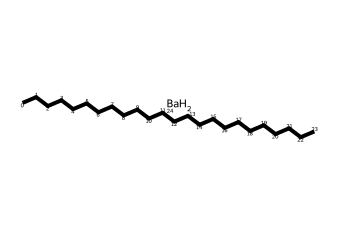 CCCCCCCCCCCCCCCCCCCCCCCC.[BaH2]